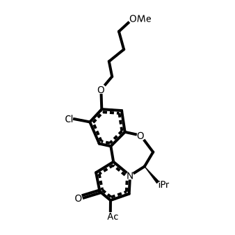 COCCCCOc1cc2c(cc1Cl)-c1cc(=O)c(C(C)=O)cn1[C@H](C(C)C)CO2